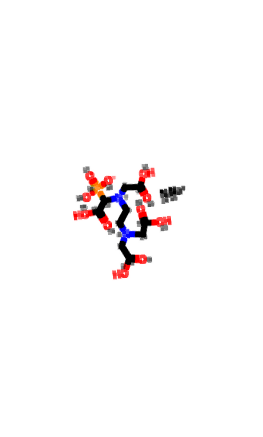 O=C(O)CN(CCN(CC(=O)O)C(C(=O)O)P(=O)([O-])[O-])CC(=O)O.[Na+].[Na+]